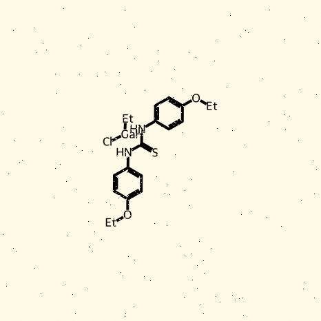 CCOc1ccc(NC(=S)Nc2ccc(OCC)cc2)cc1.C[CH2][GaH][Cl]